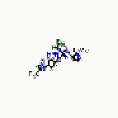 COc1ncccc1-c1ncc2c(n1)n(Cc1ccc(-c3nc(C(F)(F)F)cn3C)cc1)c(=N)n2C(F)C(F)F